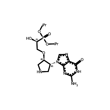 CC(C)OP(=O)(OC(C)C)[C@H](O)CO[C@@H]1CNC[C@H]1n1cnc2c(=O)[nH]c(N)nc21